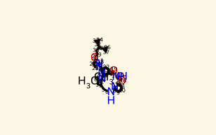 CC1(C)CC2CCNc3cccc(n3)S(=O)(=O)NC(=O)c3ccc(-n4ccc(OCCC(C5CC5)C5CC5)n4)nc3N1C2